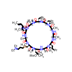 C/C=C/C[C@@H](C)C[C@@]1(NO)C(=O)N[C@H](CC)C(=O)N(C)[C@H](CSCCCN(CC)CC)C(=O)N(C)[C@@H](CC(C)(C)OC)C(=O)N[C@H](C(C)C)C(=O)N(C)[C@H](CCC(C)C)C(=O)N[C@H](C)C(=O)N[C@@H](C)C(=O)N(C)[C@@H](CC(C)C)C(=O)N(C)[C@@H](CC(C)C)C(=O)N(C)[C@@H](C(C)C)C(=O)N1C